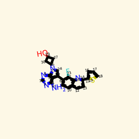 Nc1ncnc2c1c(-c1ccc3ccc(-c4cccs4)nc3c1F)cn2C1CC(O)C1